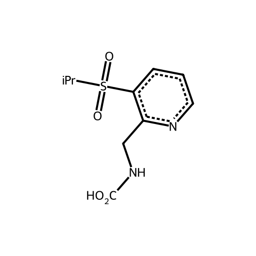 CC(C)S(=O)(=O)c1cccnc1CNC(=O)O